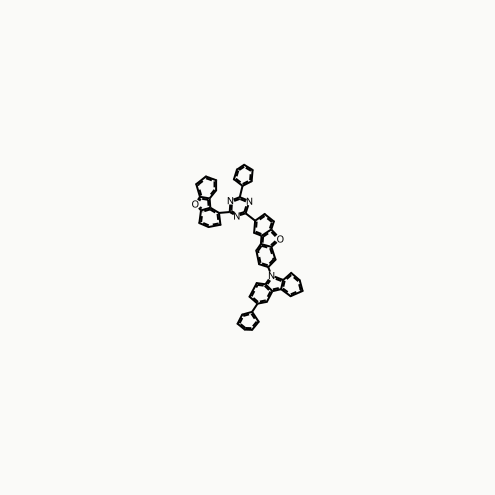 c1ccc(-c2ccc3c(c2)c2ccccc2n3-c2ccc3c(c2)oc2ccc(-c4nc(-c5ccccc5)nc(-c5cccc6oc7ccccc7c56)n4)cc23)cc1